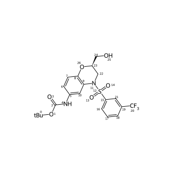 CC(C)(C)OC(=O)Nc1ccc2c(c1)N(S(=O)(=O)c1cccc(C(F)(F)F)c1)C[C@H](CO)O2